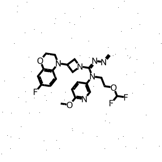 C=N/N=C(/N1CC(N2CCOc3cc(F)ccc32)C1)N(CCOC(F)F)c1ccc(OC)nc1